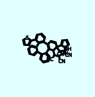 N#CC(O)C(C#N)C1C2=C(C=CC1(c1cccs1)C(C#N)C(O)C#N)c1cccc(-c3cccs3)c1-c1ccccc1-c1ccccc12